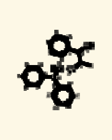 CC(N)C(O)c1ccccc1.OB(c1ccccc1)c1ccccc1